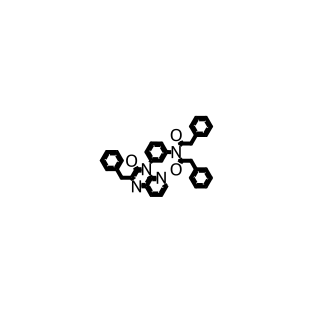 O=C(Cc1ccccc1)N(C(=O)Cc1ccccc1)c1cccc(-n2c(=O)c(Cc3ccccc3)nc3cccnc32)c1